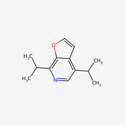 CC(C)c1cnc(C(C)C)c2occc12